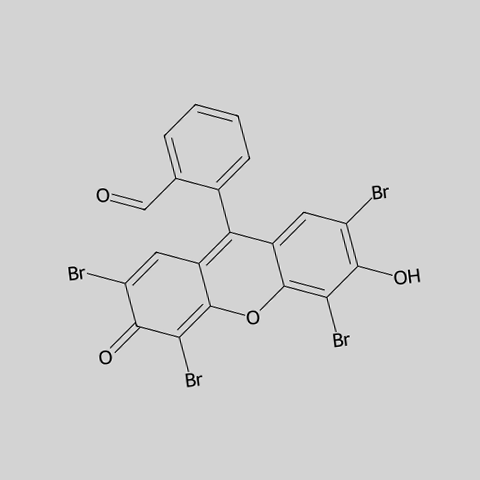 O=Cc1ccccc1-c1c2cc(Br)c(=O)c(Br)c-2oc2c(Br)c(O)c(Br)cc12